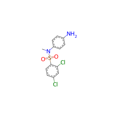 CN(c1ccc(N)cc1)S(=O)(=O)c1ccc(Cl)cc1Cl